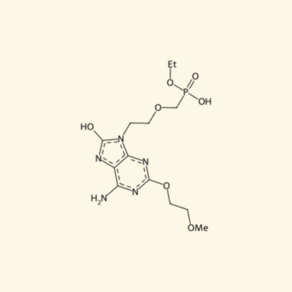 CCOP(=O)(O)COCCn1c(O)nc2c(N)nc(OCCOC)nc21